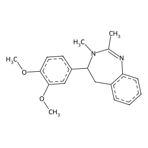 COc1ccc(C2Cc3ccccc3N=C(C)N2C)cc1OC